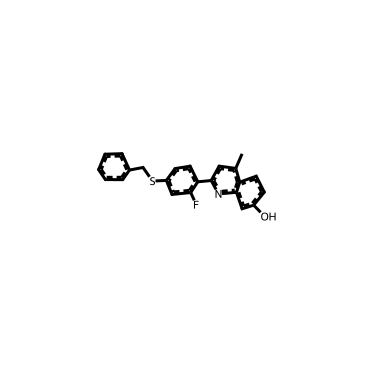 Cc1cc(-c2ccc(SCc3ccccc3)cc2F)nc2cc(O)ccc12